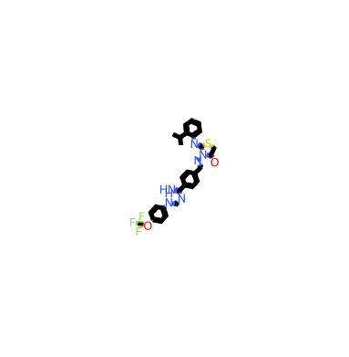 CC(C)c1ccccc1/N=C1\SCC(=O)N1/N=C/c1ccc(C(=N)/N=C\Nc2ccc(OC(F)(F)F)cc2)cc1